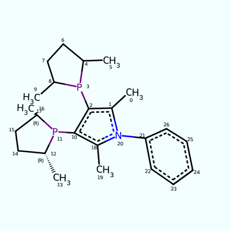 Cc1c(P2C(C)CCC2C)c(P2[C@H](C)CC[C@H]2C)c(C)n1-c1ccccc1